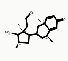 C[C@@H]1CC(C2C[C@H](F)C3=CC(=O)C=C[C@]3(C)C2)[C@](C)(CCO)C1C(=O)O